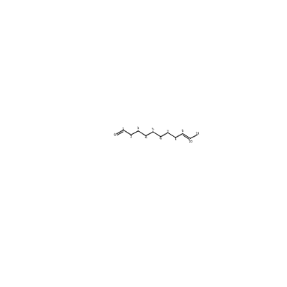 C=CCCCCCCCC=CC